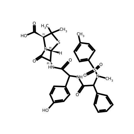 Cc1ccc(S(=O)(=O)N(C)C(C(=O)NC(C(=O)N[C@@H]2C(=O)N3[C@@H]2SC(C)(C)[C@@H]3C(=O)O)c2ccc(O)cc2)c2ccccc2)cc1